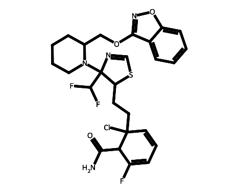 NC(=O)C1C(F)=CC=CC1(Cl)CCC1SC=NC1(C(F)F)N1CCCCC1COc1noc2ccccc12